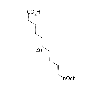 CCCCCCCC/C=C/CCCCCCCC(=O)O.[Zn]